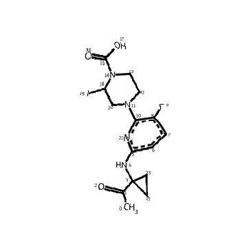 CC(=O)C1(Nc2ccc(F)c(N3CCN(C(=O)O)C(I)C3)n2)CC1